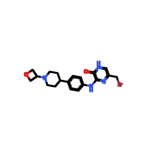 O=c1[nH]cc(CBr)nc1Nc1ccc(C2CCN(C3COC3)CC2)cc1